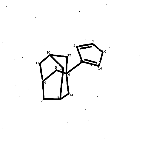 [CH]1C=CC(C23CC4CC(CC(C4)C2)C3)=C1